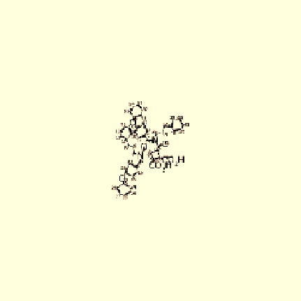 O=C(O)[C@H]1[C@H](C(=O)O)[C@H](C(=O)N(CCCc2ccccc2)Cc2ccc(Oc3ccccc3)cc2)[C@H]1C(=O)N(CCCc1ccccc1)Cc1ccc(Oc2ccccc2)cc1